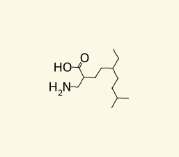 CCC(CCC(C)C)CCC(CN)C(=O)O